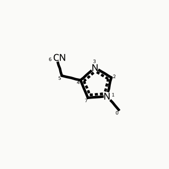 Cn1cnc(CC#N)c1